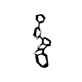 c1ccc(-c2ccnc(-c3cccc4c3oc3oc5ccccc5c34)n2)cc1